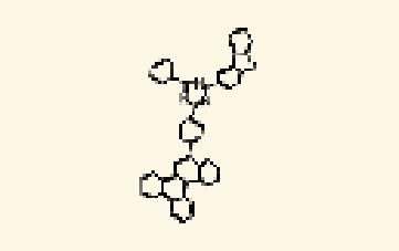 c1ccc(-c2nc(-c3ccc(-c4cc5c6ccccc6c6ccccc6c5c5ccccc45)cc3)nc(-c3ccc4oc5ccccc5c4c3)n2)cc1